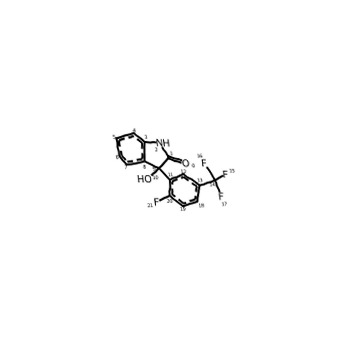 O=C1Nc2ccccc2C1(O)c1cc(C(F)(F)F)ccc1F